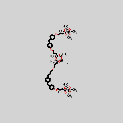 C[SiH]1O[SiH](C)O[Si](C)(CCCOc2ccc(Cc3ccc(CCCCOCCC[Si]4(C)O[SiH](C)O[SiH](C)O[Si](C)(CCCOc5ccc(Cc6ccc(OCCC[Si]7(C)O[SiH](C)O[SiH](C)O[SiH](C)O7)cc6)cc5)O4)cc3)cc2)O[SiH](C)O1